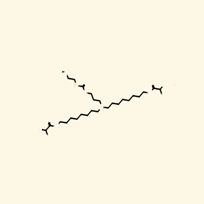 CCCCCCCCC(CCCCCC)C(=O)OCCCCCCCCN(CCCCCCCCOC(=O)C(CCCCCC)CCCCCCCC)CCCOC(=O)NCCN(C)C